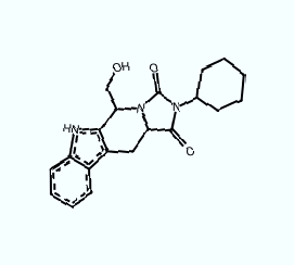 O=C1C2Cc3c([nH]c4ccccc34)C(CO)N2C(=O)N1C1CCCCC1